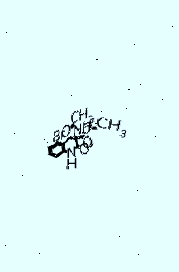 CCOC(=O)C1(NC(C)=O)Cc2c(Br)cccc2NC1=O